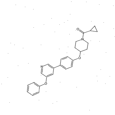 O=C(C1CC1)N1CCC(Oc2ccc(-c3cncc(Oc4ccccc4)c3)cc2)CC1